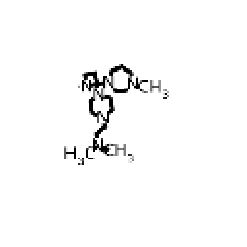 CN(C)CCN1CCN(C2(N3CCCN(C)CC3)CC[N]2)CC1